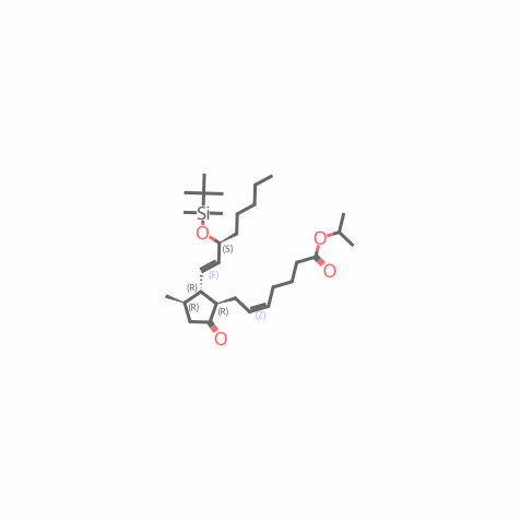 CCCCC[C@@H](/C=C/[C@H]1[C@H](C)CC(=O)[C@@H]1C/C=C\CCCC(=O)OC(C)C)O[Si](C)(C)C(C)(C)C